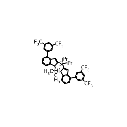 CC(C)[Si]1(C(C)C)C2=Cc3c(-c4cc(C(F)(F)F)cc(C(F)(F)F)c4)cccc3[CH]2[Hf]([CH3])([CH3])[CH]2C1=Cc1c(-c3cc(C(F)(F)F)cc(C(F)(F)F)c3)cccc12